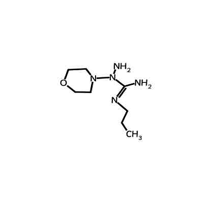 CCCN=C(N)N(N)N1CCOCC1